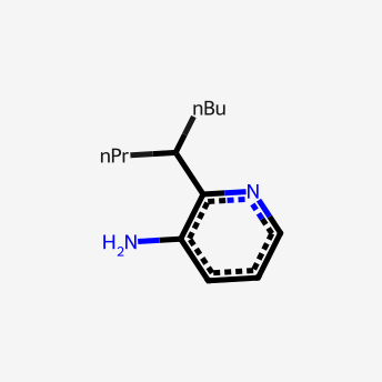 CCCCC(CCC)c1ncccc1N